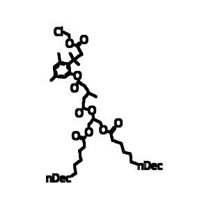 CCCCCCCCCCCCCCCC(=O)OCC(COC(=O)CCCCCCCCCCCCCCC)OC(=O)CC(C)CC(=O)Oc1cc(C)cc(C)c1C(C)(C)CC(=O)OCCl